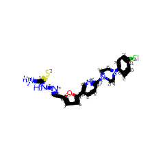 NC(=S)NN=Cc1ccc(-c2ccc(N3CCN(c4ccc(Cl)cc4)CC3)nc2)o1